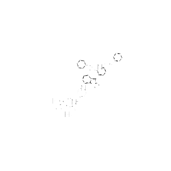 Cn1nc(-c2ccc(OCc3ccccc3)nc2OCc2ccccc2)c2cccc(N3CCC(CN4CCN(C(=O)O)CC4CO)CC3)c21